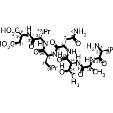 CC(C)C[C@H](NC(=O)[C@H](CC(N)=O)NC(=O)[C@@H](NC(=O)[C@H](C)NC(=O)[C@@H](N)C(C)C)[C@@H](C)O)C(=O)N[C@H](C(=O)N[C@@H](CC(=O)O)C(=O)O)C(C)C